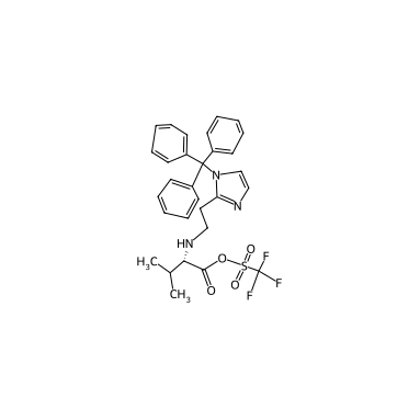 CC(C)[C@H](NCCc1nccn1C(c1ccccc1)(c1ccccc1)c1ccccc1)C(=O)OS(=O)(=O)C(F)(F)F